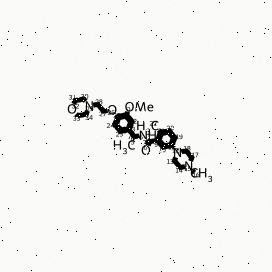 COc1cc([C@@H](C)NC(=O)c2cc(N3CCN(C)CC3)ccc2C)ccc1OCCN1CCOCC1